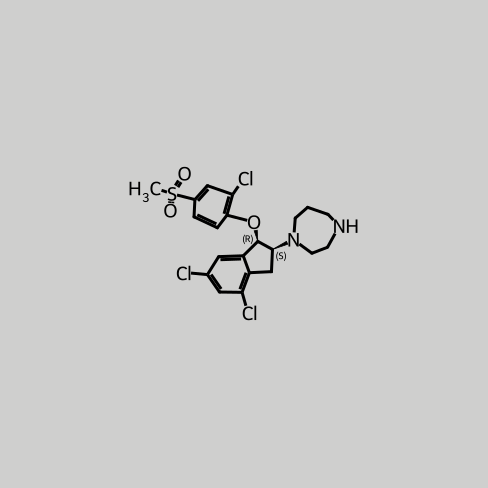 CS(=O)(=O)c1ccc(O[C@@H]2c3cc(Cl)cc(Cl)c3C[C@@H]2N2CCCNCC2)c(Cl)c1